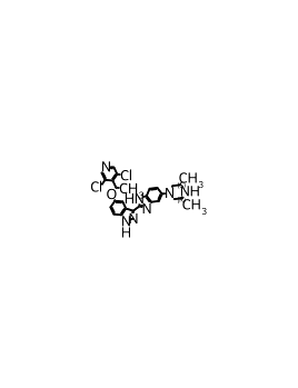 CC(Oc1ccc2[nH]nc(-c3nc4cc(N5C[C@@H](C)N[C@@H](C)C5)ccc4[nH]3)c2c1)c1c(Cl)cncc1Cl